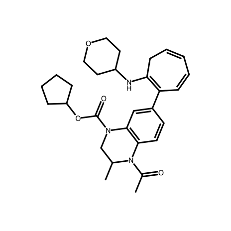 CC(=O)N1c2ccc(C3=C(NC4CCOCC4)CC=CC=C3)cc2N(C(=O)OC2CCCC2)CC1C